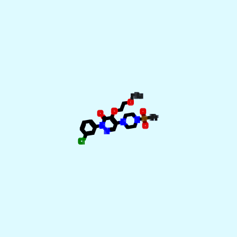 CCCCOCCOc1c(N2CCN(S(=O)(=O)C(C)C)CC2)cnn(-c2cccc(Cl)c2)c1=O